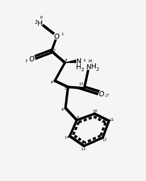 [2H]OC(=O)[C@@H](N)CC(Cc1ccccc1)C(N)=O